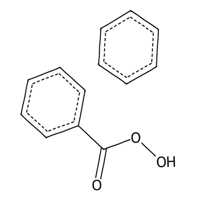 O=C(OO)c1ccccc1.c1ccccc1